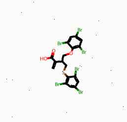 C=C(C(=O)O)C(COc1c(Br)cc(Br)cc1Br)CSc1c(Br)cc(Br)cc1Br